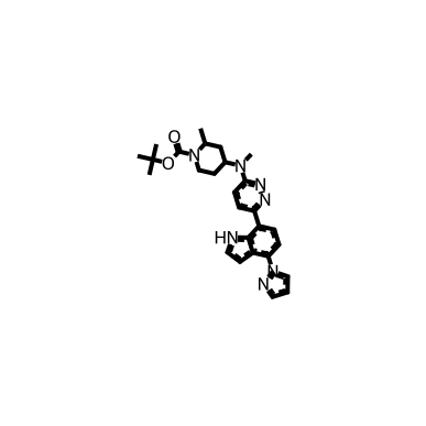 CC1CC(N(C)c2ccc(-c3ccc(-n4cccn4)c4cc[nH]c34)nn2)CCN1C(=O)OC(C)(C)C